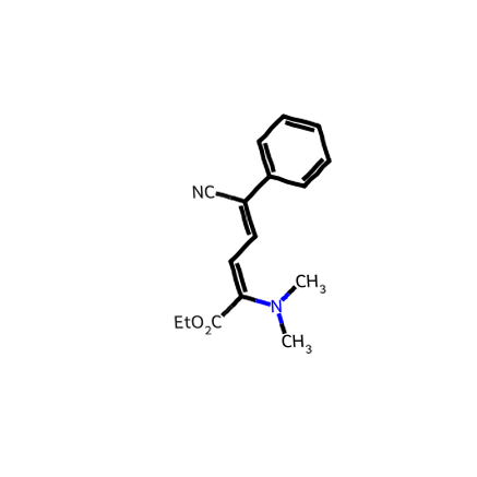 CCOC(=O)C(=CC=C(C#N)c1ccccc1)N(C)C